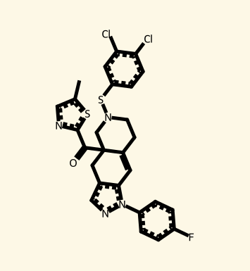 Cc1cnc(C(=O)C23Cc4cnn(-c5ccc(F)cc5)c4C=C2CCN(Sc2ccc(Cl)c(Cl)c2)C3)s1